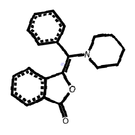 O=C1O/C(=C(/c2ccccc2)N2CCCCC2)c2ccccc21